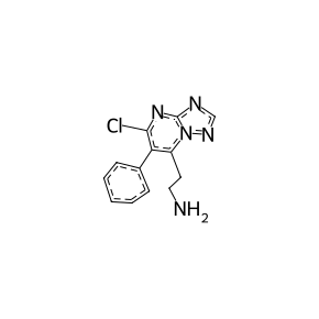 NCCc1c(-c2ccccc2)c(Cl)nc2ncnn12